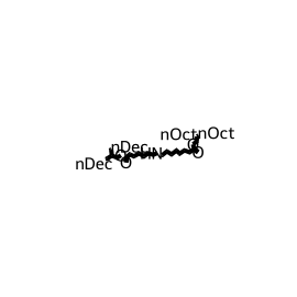 CCCCCCCCCCCC(CCCCCCCCCCC)COC(=O)CCCCCCNCCCCCCCC(=O)OCC(CCCCCCCC)CCCCCCCC